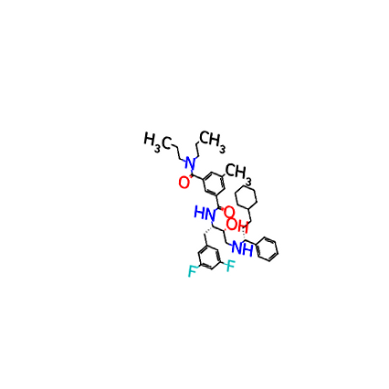 CCCN(CCC)C(=O)c1cc(C)cc(C(=O)N[C@@H](Cc2cc(F)cc(F)c2)[C@H](O)CN[C@H](CCC2CCCCC2)c2ccccc2)c1